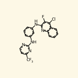 Fc1c(Nc2cccc(Nc3nccc(C(F)(F)F)n3)c2)nc2ccccc2c1Cl